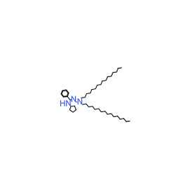 CCCCCCCCCCCCCCCCN(CCCCCCCCCCCCCCCC)CN=C(NC1CCCC1)c1ccccc1